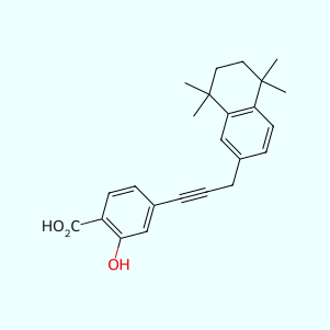 CC1(C)CCC(C)(C)c2cc(CC#Cc3ccc(C(=O)O)c(O)c3)ccc21